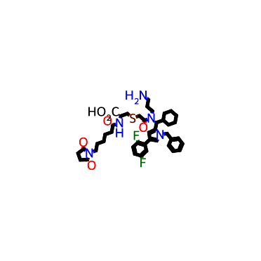 NCCCN(C(=O)CSC[C@H](NC(=O)CCCCCN1C(=O)CCC1=O)C(=O)O)[C@@H](c1cc(-c2cc(F)ccc2F)cn1Cc1ccccc1)C1CCCCC1